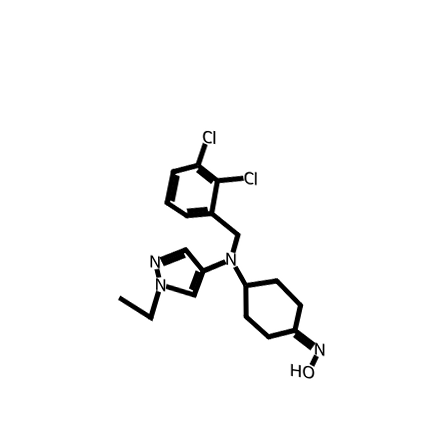 CCn1cc(N(Cc2cccc(Cl)c2Cl)C2CCC(=NO)CC2)cn1